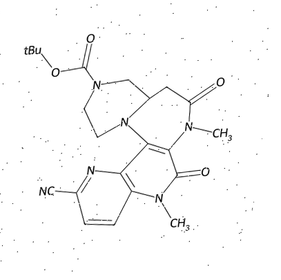 CN1C(=O)CC2CN(C(=O)OC(C)(C)C)CCN2c2c1c(=O)n(C)c1ccc(C#N)nc21